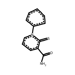 NC(=O)c1cccn(-c2ccccc2)c1=S